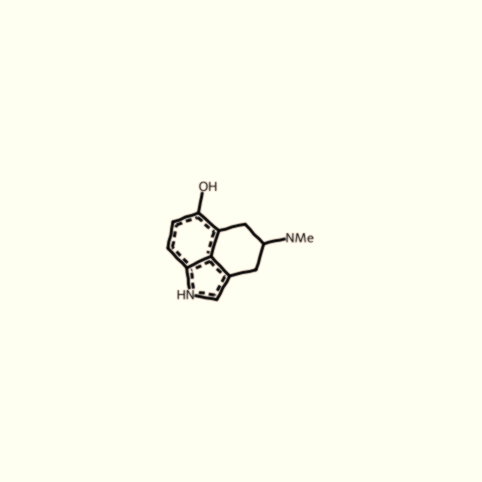 CNC1Cc2c[nH]c3ccc(O)c(c23)C1